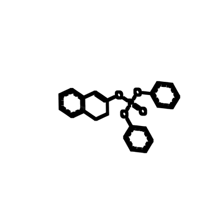 O=P(OC1=Cc2ccccc2CC1)(Oc1ccccc1)Oc1ccccc1